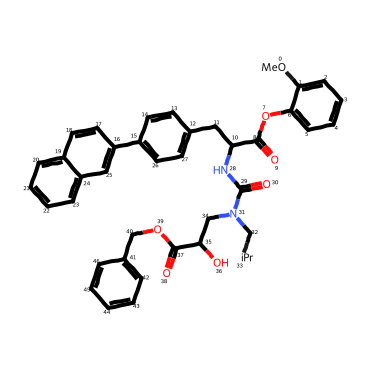 COc1ccccc1OC(=O)C(Cc1ccc(-c2ccc3ccccc3c2)cc1)NC(=O)N(CC(C)C)CC(O)C(=O)OCc1ccccc1